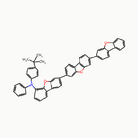 CC(C)(C)c1ccc(N(c2ccccc2)c2cccc3c2oc2cc(-c4ccc5c(c4)oc4cc(-c6ccc7c(c6)oc6ccccc67)ccc45)ccc23)cc1